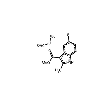 CC(C)(C)OC=O.COC(=O)c1c(C)[nH]c2ccc(F)cc12